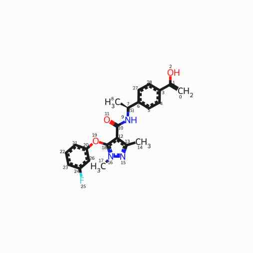 C=C(O)c1ccc([C@H](C)NC(=O)c2c(C)nn(C)c2Oc2cccc(F)c2)cc1